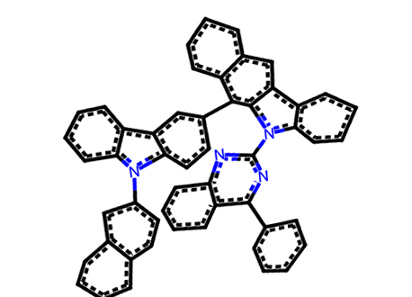 c1ccc(-c2nc(-n3c4ccccc4c4cc5ccccc5c(-c5ccc6c(c5)c5ccccc5n6-c5ccc6ccccc6c5)c43)nc3ccccc23)cc1